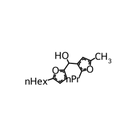 CCCCCCc1ccc(C(O)c2cc(C)oc2CCC)o1